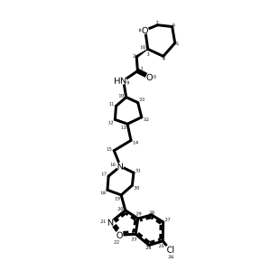 O=C(C[C@@H]1CCCCO1)NC1CCC(CCN2CCC(c3noc4cc(Cl)ccc34)CC2)CC1